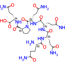 NC(=O)CC[C@H](NC(=O)[C@@H]1CCCN1C(=O)[C@H](CCC(N)=O)NC(=O)[C@H](CCC(N)=O)NC(=O)[C@H](CCC(N)=O)NC(=O)[C@@H](N)CCC(N)=O)C(=O)O